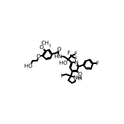 COc1cc(C(=O)NCC(O)(c2cc(C3(CI)CCCN3)c(O)c(-c3ccc(F)cc3)n2)C(F)(F)F)ccc1OCCO